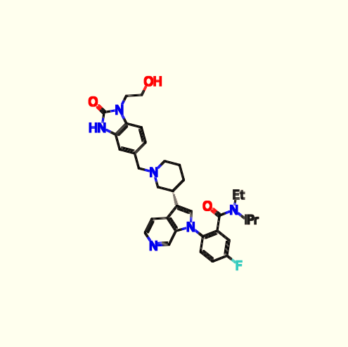 CCN(C(=O)c1cc(F)ccc1-n1cc([C@H]2CCCN(Cc3ccc4c(c3)[nH]c(=O)n4CCO)C2)c2ccncc21)C(C)C